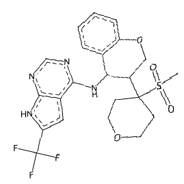 CS(=O)(=O)C1(C2COc3ccccc3C2Nc2ncnc3[nH]c(C(F)(F)F)cc23)CCOCC1